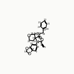 C#CC(=O)N(c1ccc2c(c1)OCO2)C1(C(=O)NCc2ccccc2)CCOCC1